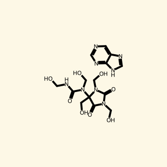 O=C(NCO)N(CO)C1(CO)C(=O)N(CO)C(=O)N1CO.c1ncc2nc[nH]c2n1